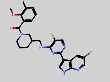 COc1c(C)cccc1C(=O)N1CCCC(CNc2nc(-c3c[nH]c4ncc(Cl)cc34)ncc2F)C1